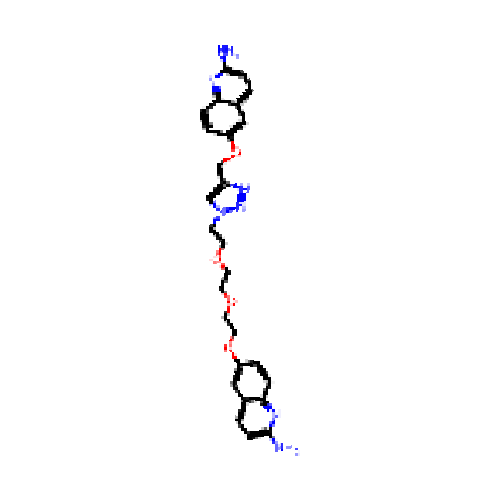 Nc1ccc2cc(OCCOCCOCCn3cc(COc4ccc5nc(N)ccc5c4)nn3)ccc2n1